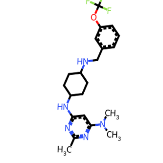 Cc1nc(NC2CCC(NCc3cccc(OC(F)(F)F)c3)CC2)cc(N(C)C)n1